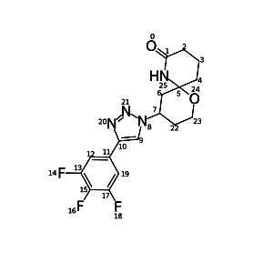 O=C1CCCC2(CC(n3cc(-c4cc(F)c(F)c(F)c4)nn3)CCO2)N1